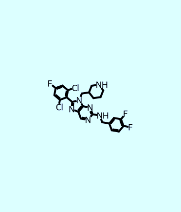 Fc1cc(Cl)c(-c2nc3cnc(NCc4ccc(F)c(F)c4)nc3n2CC2CCCNC2)c(Cl)c1